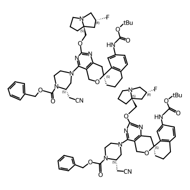 CC(C)(C)OC(=O)Nc1ccc2c(c1)[C@]1(CCC2)Cc2nc(OC[C@@]34CCCN3C[C@H](F)C4)nc(N3CCN(C(=O)OCc4ccccc4)[C@@H](CC#N)C3)c2CO1.CC(C)(C)OC(=O)Nc1ccc2c(c1)[C@]1(CCC2)Cc2nc(OC[C@@]34CCCN3C[C@H](F)C4)nc(N3CCN(C(=O)OCc4ccccc4)[C@@H](CC#N)C3)c2CO1